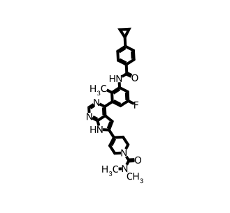 Cc1c(NC(=O)c2ccc(C3CC3)cc2)cc(F)cc1-c1ncnc2[nH]c(C3=CCN(C(=O)N(C)C)CC3)cc12